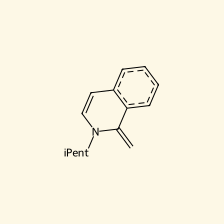 C=C1c2ccccc2C=CN1C(C)CCC